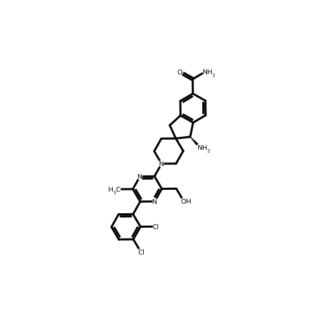 Cc1nc(N2CCC3(CC2)Cc2cc(C(N)=O)ccc2[C@H]3N)c(CO)nc1-c1cccc(Cl)c1Cl